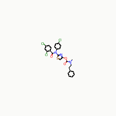 CN(CCc1ccccc1)C(=O)Oc1csc(N(C(=O)c2ccc(Cl)cc2Cl)c2ccc(Cl)cc2)n1